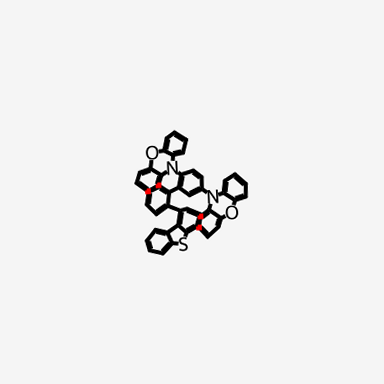 c1ccc2c(c1)Oc1ccccc1N2c1ccc(N2c3ccccc3Oc3ccccc32)c(-c2ccccc2-c2cccc3sc4ccccc4c23)c1